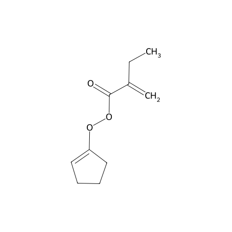 C=C(CC)C(=O)OOC1=CCCC1